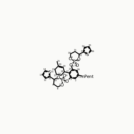 CCCCCc1cc(OP2(=O)OCCC(c3cccs3)O2)c(C2C=C(C)CCC2)c(OP2(=O)OCCC(c3cccs3)O2)c1